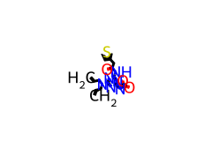 C=CCN(CC=C)c1nc(NC(=O)Cc2ccsc2)n2oc(=O)nc2n1